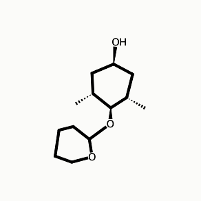 C[C@@H]1C[C@@H](O)C[C@H](C)[C@H]1OC1CCCCO1